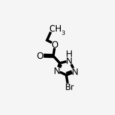 CCOC(=O)c1nc(Br)n[nH]1